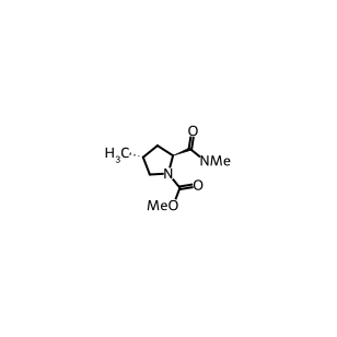 CNC(=O)[C@@H]1C[C@@H](C)CN1C(=O)OC